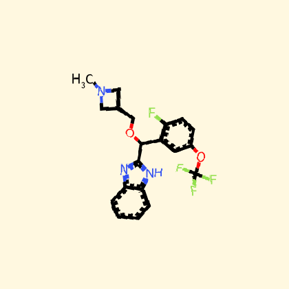 CN1CC(COC(c2nc3ccccc3[nH]2)c2cc(OC(F)(F)F)ccc2F)C1